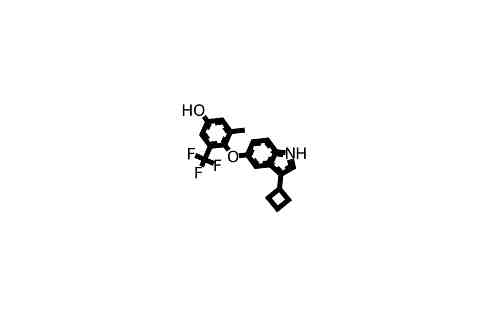 Cc1cc(O)cc(C(F)(F)F)c1Oc1ccc2[nH]cc(C3CCC3)c2c1